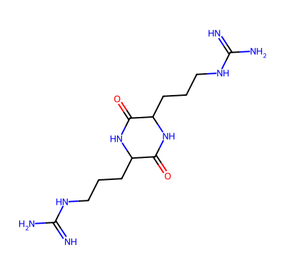 N=C(N)NCCCC1NC(=O)C(CCCNC(=N)N)NC1=O